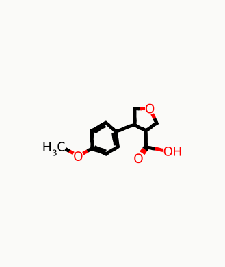 COc1ccc(C2COCC2C(=O)O)cc1